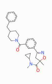 CN(C(=O)C1(C)CC(c2cccc(C(=O)N3CCC(Cc4ccccc4)CC3)c2)=NO1)C1CC1